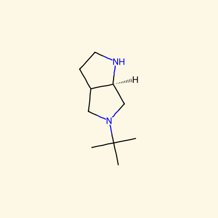 CC(C)(C)N1CC2CCN[C@H]2C1